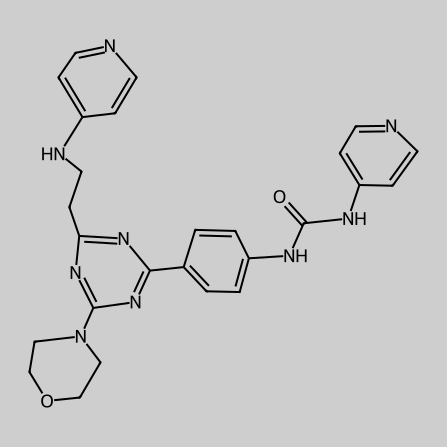 O=C(Nc1ccncc1)Nc1ccc(-c2nc(CCNc3ccncc3)nc(N3CCOCC3)n2)cc1